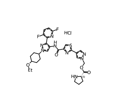 CCOC1CCC(n2cc(NC(=O)c3csc(-c4cnn(COC(=O)[C@@H]5CCCN5)c4)n3)c(-c3nc(F)ccc3F)n2)CC1.Cl